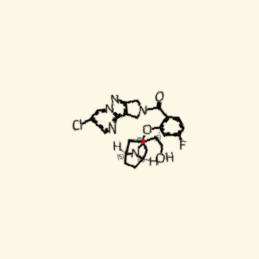 C[C@H](CO)CN1[C@@H]2CC[C@H]1C[C@@H](Oc1cc(F)ccc1C(=O)N1Cc3nn4cc(Cl)cnc4c3C1)C2